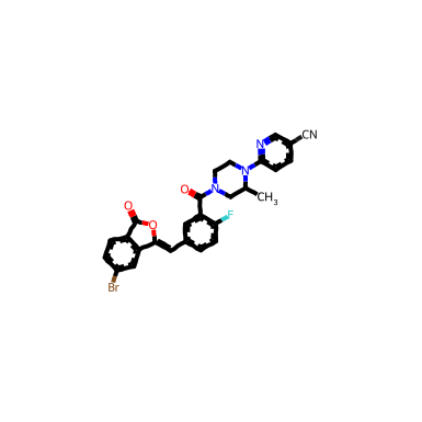 CC1CN(C(=O)c2cc(/C=C3\OC(=O)c4ccc(Br)cc43)ccc2F)CCN1c1ccc(C#N)cn1